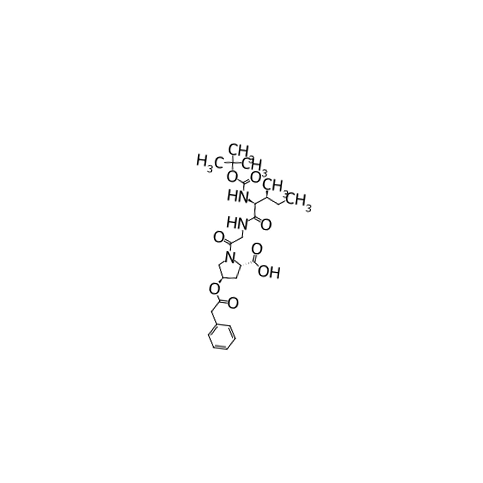 CC[C@H](C)[C@H](NC(=O)OC(C)(C)C)C(=O)NCC(=O)N1C[C@H](OC(=O)Cc2ccccc2)C[C@H]1C(=O)O